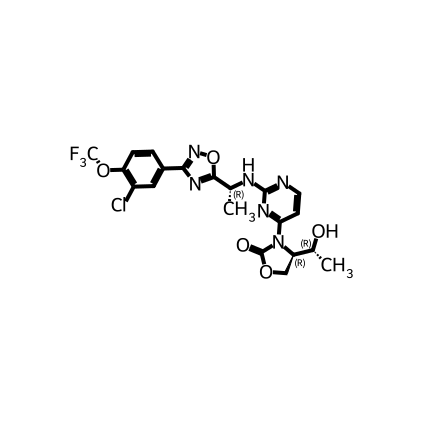 C[C@@H](Nc1nccc(N2C(=O)OC[C@@H]2[C@@H](C)O)n1)c1nc(-c2ccc(OC(F)(F)F)c(Cl)c2)no1